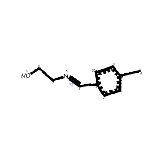 Cc1ccc(/C=N/CCO)cc1